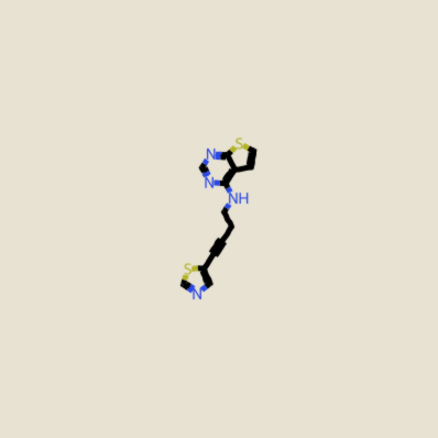 C(#Cc1cncs1)CCNc1ncnc2sccc12